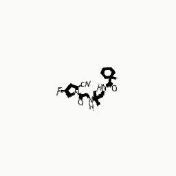 CC(C)(CNC(=O)C1(C)CCCCC1)NCC(=O)N1C[C@@H](F)C[C@H]1C#N